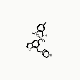 COc1ccc(C)cc1NS(=O)(=O)c1cc(CN2CC3CC2CN3)c2occc2c1